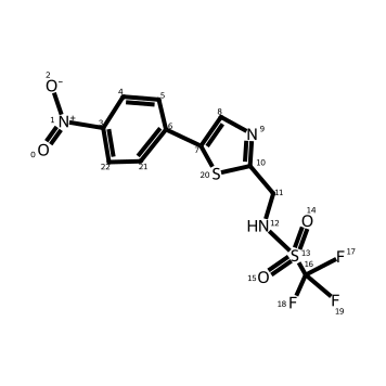 O=[N+]([O-])c1ccc(-c2cnc(CNS(=O)(=O)C(F)(F)F)s2)cc1